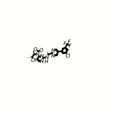 C[C@@H](Nc1nccc(N2C(=O)OC[C@@H]2[C@@H](C)O)n1)c1ncc(-c2cc(Cl)cc(C(F)(F)F)c2)cn1